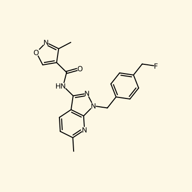 Cc1ccc2c(NC(=O)c3conc3C)nn(Cc3ccc(CF)cc3)c2n1